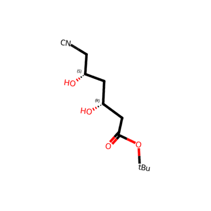 [C-]#[N+]C[C@@H](O)C[C@@H](O)CC(=O)OC(C)(C)C